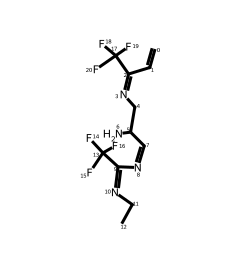 C=C/C(=N\CC(N)/C=N\C(=N/CC)C(F)(F)F)C(F)(F)F